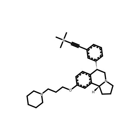 C[Si](C)(C)C#Cc1cccc([C@@H]2CN3CCC[C@@H]3c3cc(OCCCN4CCCCC4)ccc32)c1